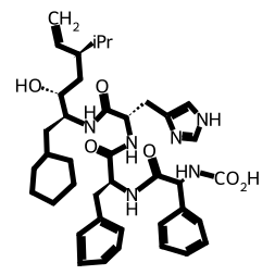 C=C[C@H](C[C@@H](O)[C@H](CC1CCCCC1)NC(=O)[C@H](Cc1c[nH]cn1)NC(=O)[C@H](Cc1ccccc1)NC(=O)[C@H](NC(=O)O)c1ccccc1)C(C)C